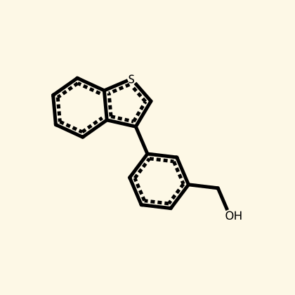 OCc1cccc(-c2csc3ccccc23)c1